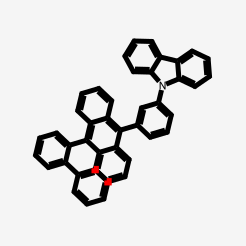 c1ccc(-c2ccccc2-c2c3ccccc3c(-c3cccc(-n4c5ccccc5c5ccccc54)c3)c3ccccc23)cc1